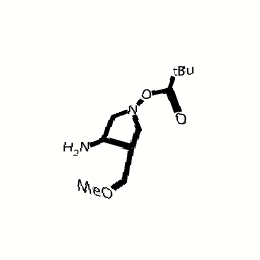 COCC1CN(OC(=O)C(C)(C)C)CC1N